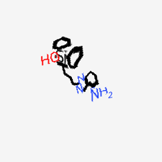 CC(C)(CCCc1ncc2c(n1)CCCC2N)[Si](O)(c1ccccc1)c1ccccc1